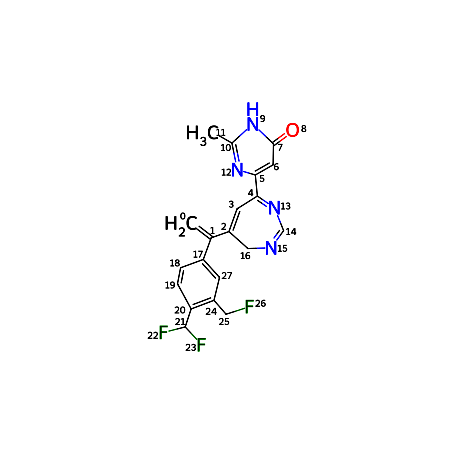 C=C(C1=CC(c2cc(=O)[nH]c(C)n2)=NC=NC1)c1ccc(C(F)F)c(CF)c1